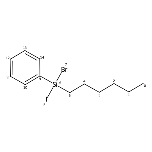 CCCCCC[Si](Br)(I)c1ccccc1